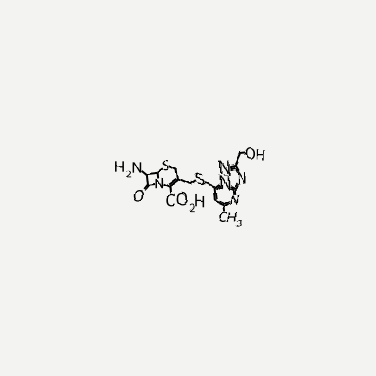 Cc1cc(SCC2=C(C(=O)O)N3C(=O)C(N)C3SC2)n2nc(CO)nc2n1